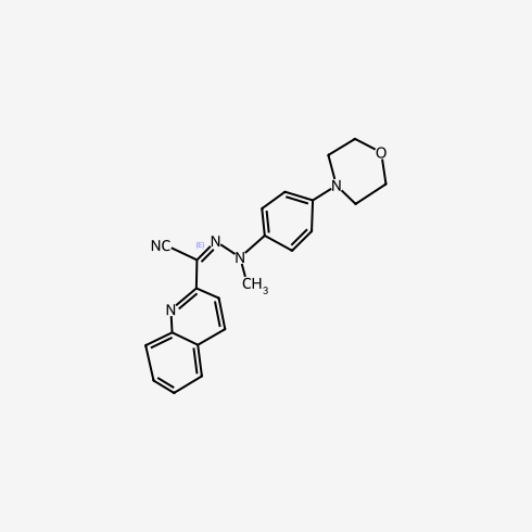 CN(/N=C(/C#N)c1ccc2ccccc2n1)c1ccc(N2CCOCC2)cc1